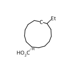 CCC1CCCCCC[C@@H](C(=O)O)CCCCC1